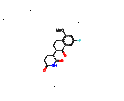 COc1cc(F)cc2c1CCC(C1CCC(=O)NC1=O)C2=O